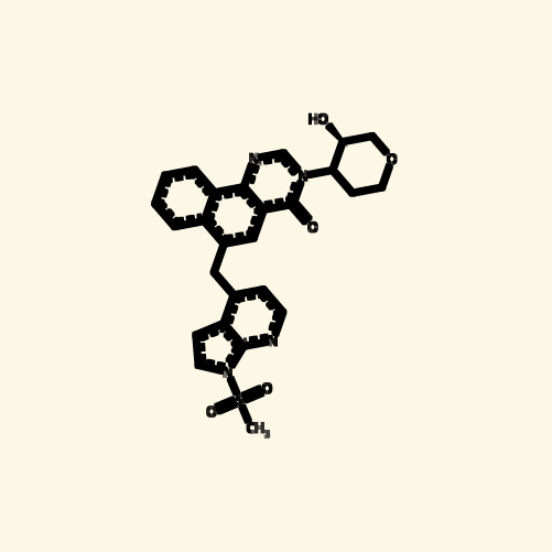 CS(=O)(=O)n1ccc2c(Cc3cc4c(=O)n(C5CCOC[C@@H]5O)cnc4c4ccccc34)ccnc21